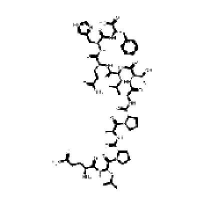 CC(C)C[C@H](NC(=O)[C@@H](NC(=O)CNC(=O)[C@@H]1CCCN1C(=O)[C@H](C)NC(=O)[C@@H]1CCCN1C(=O)[C@H](CC(C)C)NC(=O)[C@@H](N)CCC(N)=O)[C@@H](C)O)C(=O)N[C@@H](CCC(N)=O)C(=O)N[C@@H](Cc1c[nH]cn1)C(=O)N[C@@H](Cc1ccccc1)C(=O)O